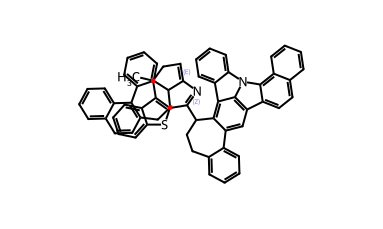 CC1C/C=C(C2CCc3ccc4ccccc4c3-c3ccccc32)/N=C(/C2CCc3ccccc3-c3cc4c5ccc6ccccc6c5n5c6ccccc6c(c32)c45)c2sc3ccccc3c21